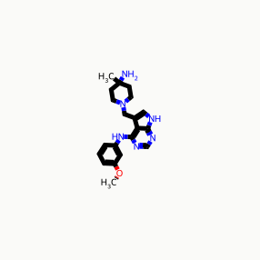 COc1cccc(Nc2ncnc3[nH]cc(CN4CCC(C)(N)CC4)c23)c1